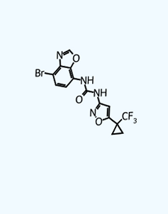 O=C(Nc1cc(C2(C(F)(F)F)CC2)on1)Nc1ccc(Br)c2ncoc12